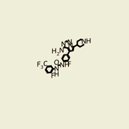 Nc1ncnn2c(C3CCNCC3)cc(-c3ccc(NC(=O)Nc4cc(C(F)(F)F)ccc4F)c(F)c3)c12